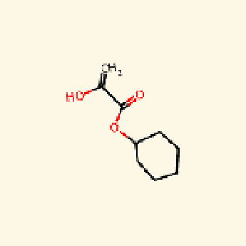 C=C(O)C(=O)OC1CCCCC1